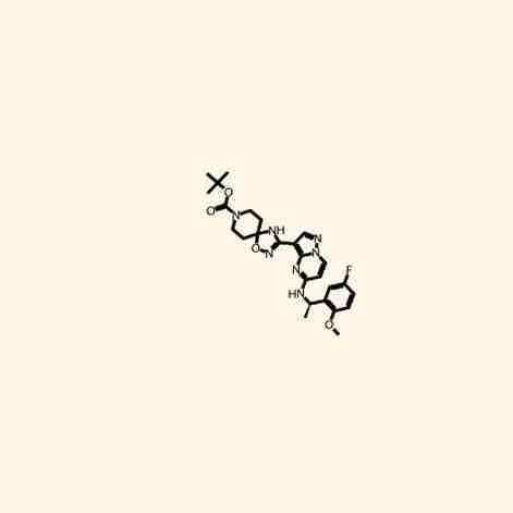 COc1ccc(F)cc1[C@@H](C)Nc1ccn2ncc(C3=NOC4(CCN(C(=O)OC(C)(C)C)CC4)N3)c2n1